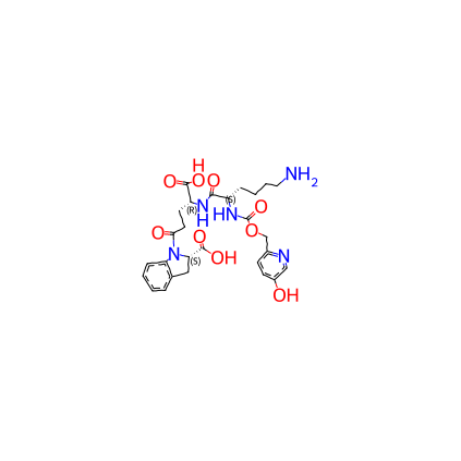 NCCCC[C@H](NC(=O)OCc1ccc(O)cn1)C(=O)N[C@H](CCC(=O)N1c2ccccc2C[C@H]1C(=O)O)C(=O)O